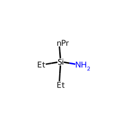 CCC[Si](N)(CC)CC